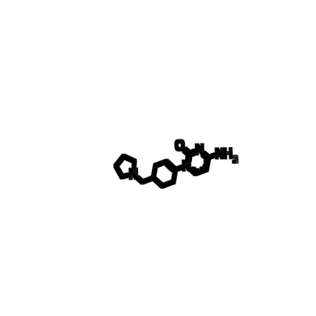 Nc1ccn(C2=CCC(CN3CCCC3)CC2)c(=O)n1